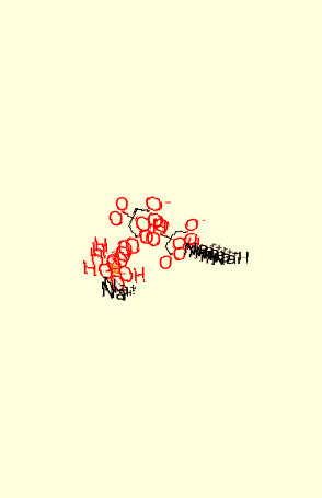 O.O.O.O=C([O-])CC(O)(CC(=O)[O-])C(=O)[O-].O=C([O-])CC(O)(CC(=O)[O-])C(=O)[O-].O=P([O-])(O)O.[Na+].[Na+].[Na+].[Na+].[Na+].[Na+].[Na+].[NaH]